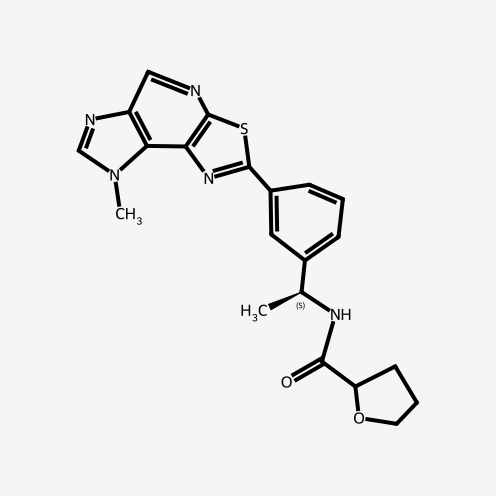 C[C@H](NC(=O)C1CCCO1)c1cccc(-c2nc3c(ncc4ncn(C)c43)s2)c1